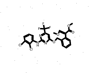 CO/C=C(/C(=O)OC)c1ccccc1COc1cc(C(F)(F)F)nc(Nc2cccc(Cl)c2Cl)n1